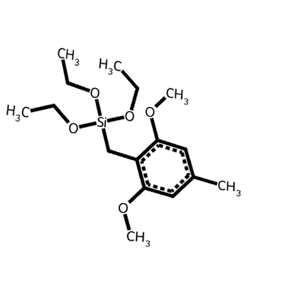 CCO[Si](Cc1c(OC)cc(C)cc1OC)(OCC)OCC